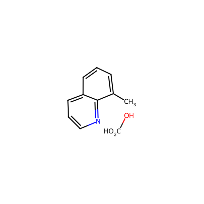 Cc1cccc2cccnc12.O=C(O)O